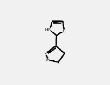 [C]1CC(C2NC=CO2)=NN1